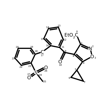 CCOC(=O)c1noc(C2CC2)c1C(=O)c1ccccc1Cc1ccccc1S(C)(=O)=O